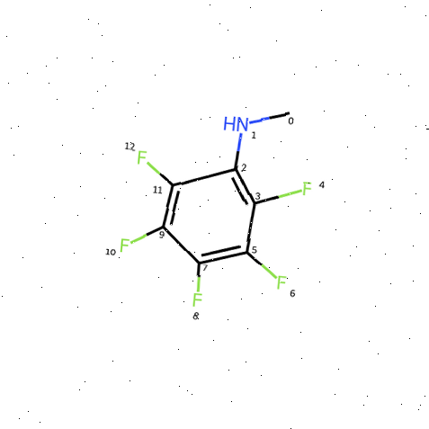 CNc1c(F)c(F)c(F)c(F)c1F